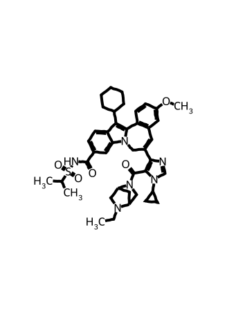 CCN1CC2CC1CN2C(=O)c1c(C2=Cc3cc(OC)ccc3-c3c(C4CCCCC4)c4ccc(C(=O)NS(=O)(=O)C(C)C)cc4n3C2)ncn1C1CC1